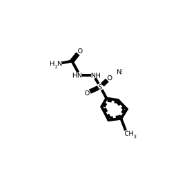 Cc1ccc(S(=O)(=O)NNC(N)=O)cc1.[N]